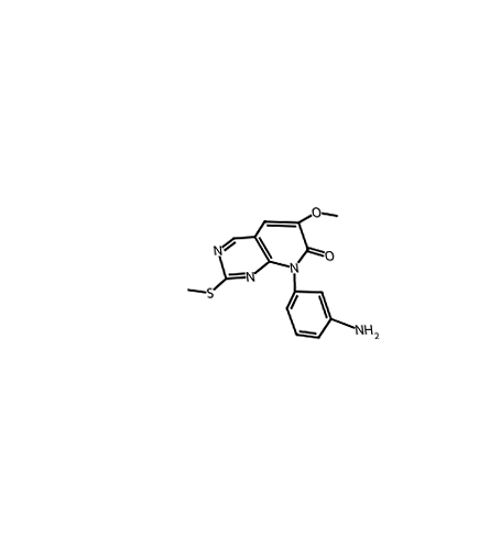 COc1cc2cnc(SC)nc2n(-c2cccc(N)c2)c1=O